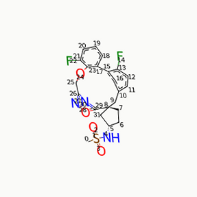 CS(=O)(=O)N[C@H]1CC[C@@]2(Cc3ccc(F)c(c3)-c3cccc(F)c3OCc3noc2n3)C1